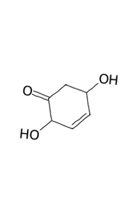 O=C1CC(O)C=CC1O